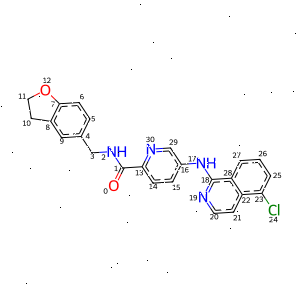 O=C(NCc1ccc2c(c1)CCO2)c1ccc(Nc2nccc3c(Cl)cccc23)cn1